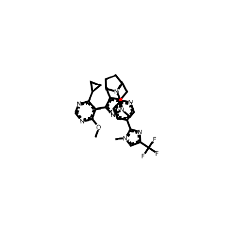 COc1ncnc(C2CC2)c1-c1nn(C)c2c1C1CCC(C2)N1c1ccc(-c2nc(C(F)(F)F)cn2C)cn1